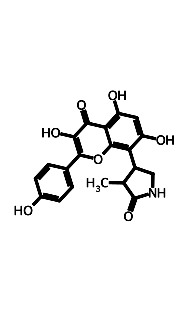 CC1C(=O)NCC1c1c(O)cc(O)c2c(=O)c(O)c(-c3ccc(O)cc3)oc12